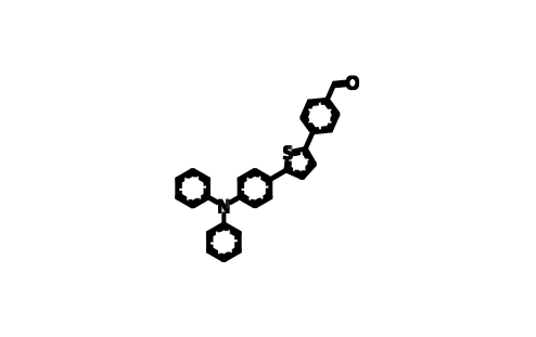 O=Cc1ccc(-c2ccc(-c3ccc(N(c4ccccc4)c4ccccc4)cc3)s2)cc1